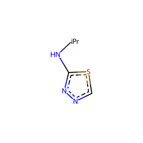 CC(C)Nc1nncs1